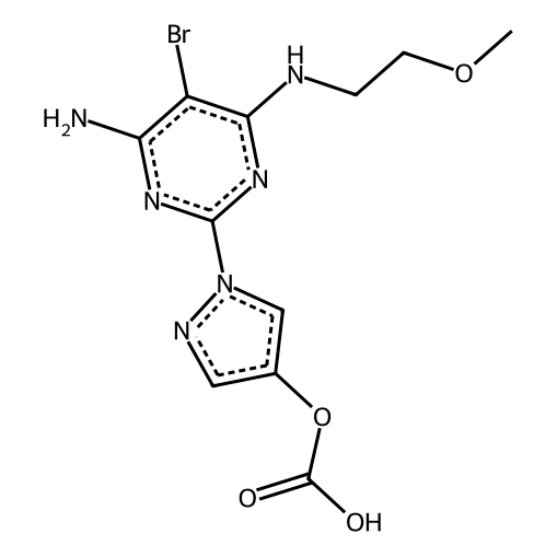 COCCNc1nc(-n2cc(OC(=O)O)cn2)nc(N)c1Br